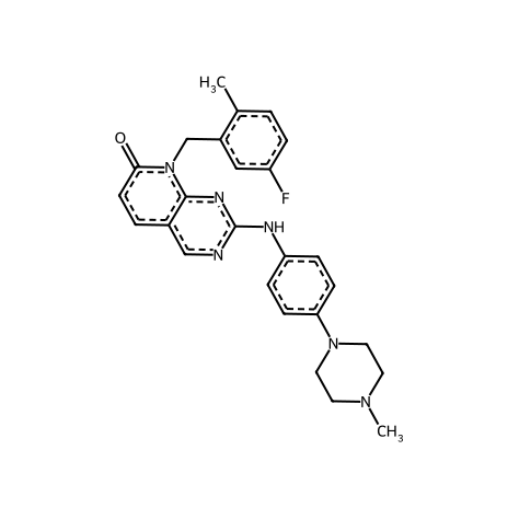 Cc1ccc(F)cc1Cn1c(=O)ccc2cnc(Nc3ccc(N4CCN(C)CC4)cc3)nc21